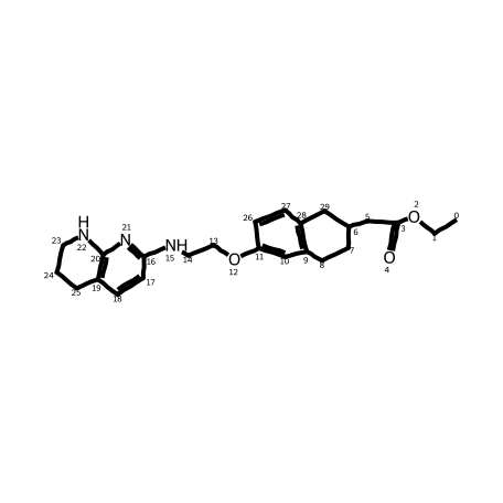 CCOC(=O)CC1CCc2cc(OCCNc3ccc4c(n3)NCCC4)ccc2C1